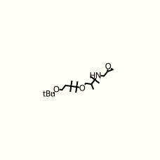 CC(COC(C)(C)C(C)(C)CCOC(C)(C)C)C(C)(C)NCC1CO1